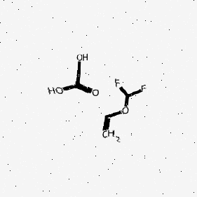 C=COC(F)F.O=C(O)O